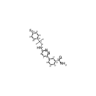 CC(C)(CNc1ccc(-c2cccc(C(N)=O)c2)nn1)c1ccc(F)cc1